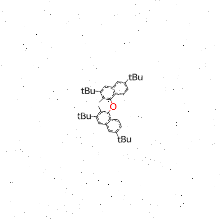 Cc1c(C(C)(C)C)cc2cc(C(C)(C)C)ccc2c1Oc1c(C)c(C(C)(C)C)cc2cc(C(C)(C)C)ccc12